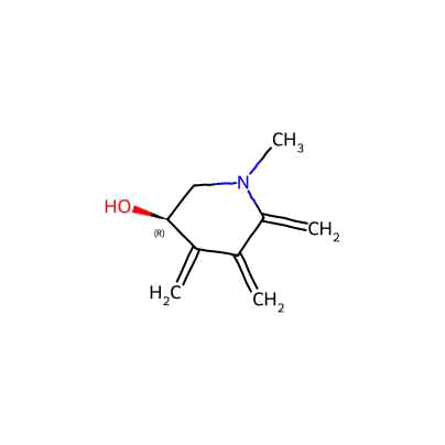 C=C1C(=C)[C@@H](O)CN(C)C1=C